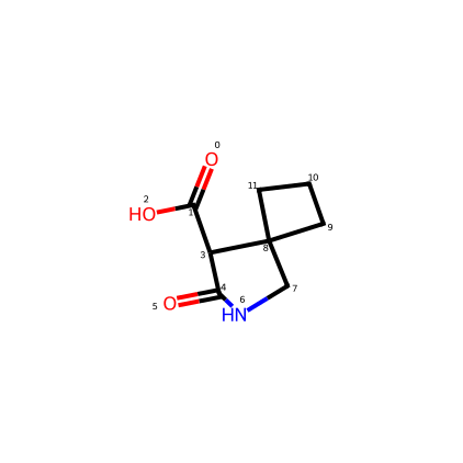 O=C(O)C1C(=O)NCC12CCC2